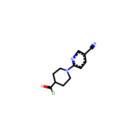 N#Cc1ccc(N2CCC(C(=O)Cl)CC2)nc1